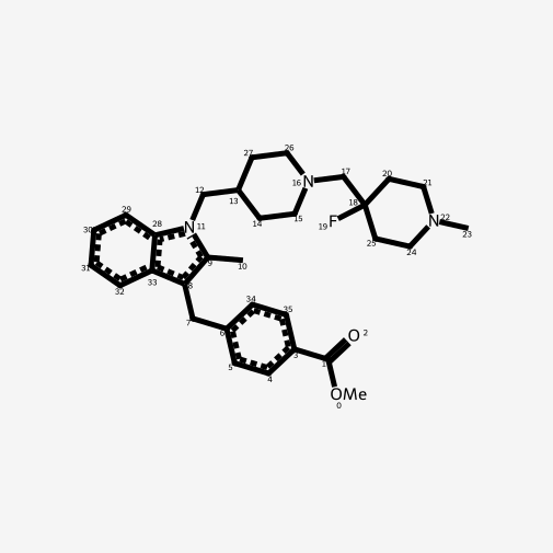 COC(=O)c1ccc(Cc2c(C)n(CC3CCN(CC4(F)CCN(C)CC4)CC3)c3ccccc23)cc1